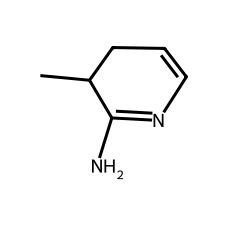 CC1CC=CN=C1N